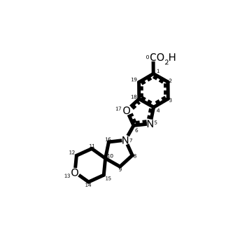 O=C(O)c1ccc2nc(N3CCC4(CCOCC4)C3)oc2c1